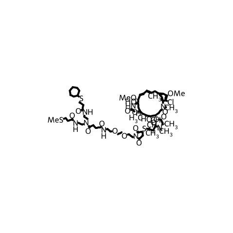 COc1cc2cc(c1Cl)N(C)C(=O)C[C@H](OC(=O)[C@H](C)N(C)C(=O)CC(C)(C)SC1CC(=O)N(CCOCCOCCNC(=O)CCC(=O)N(CCNC(=O)CCSC)CCNC(=O)CCSC3CCCCCC3)C1=O)[C@]1(C)O[C@H]1[C@H](C)[C@@H]1C[C@@](O)(NC(=O)O1)[C@H](OC)/C=C/C=C(\C)C2